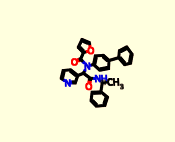 C[C@H](NC(=O)C(c1cccnc1)N(C(=O)c1ccco1)c1ccc(-c2ccccc2)cc1)c1ccccc1